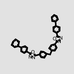 c1ccc(-c2ccc(-c3nnc(-c4ccc(Cc5ccc(-c6nnc(-c7ccc(-c8ccccc8)cc7)o6)cc5)cc4)o3)cc2)cc1